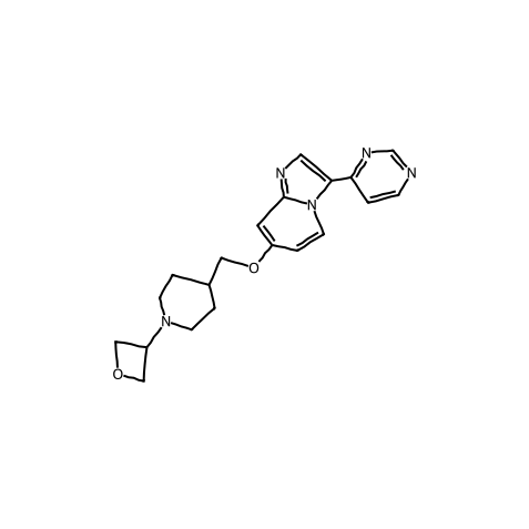 c1cc(-c2cnc3cc(OCC4CCN(C5COC5)CC4)ccn23)ncn1